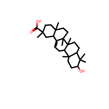 CC1(C(=O)O)CCC2(C)CCC3(C)C(=CCC4C5(C)CCC(O)C(C)(C)C5CCC43C)C2C1